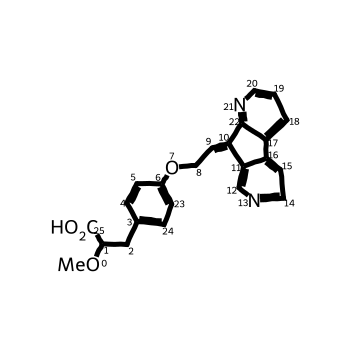 COC(Cc1ccc(OC/C=C2\c3cnccc3-c3cccnc32)cc1)C(=O)O